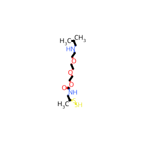 CC(C)CNCCOCCOCCOC(=O)NCC(C)SS